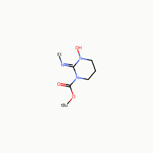 CC/N=C1\N(O)CCCN1C(=O)OC(C)(C)C